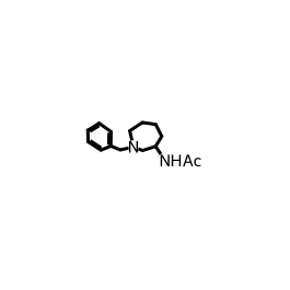 CC(=O)NC1CCCCN(Cc2ccccc2)C1